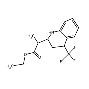 CCOC(=O)C(C)C1CC(C(F)(F)F)c2ccccc2N1